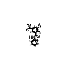 COC(=O)c1cc(OC)c(C)c(C(=O)Nc2ccccn2)c1